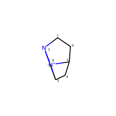 C1CN2C3CC1[N+]32